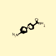 NC(=O)C1CCN(c2ccc(N)cc2)CC1